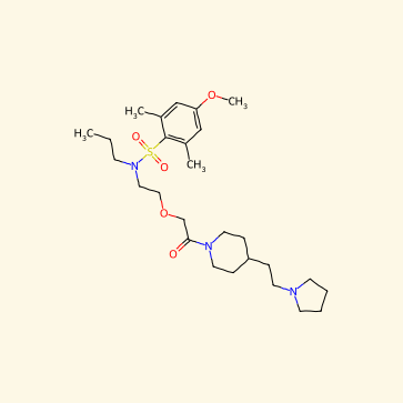 CCCN(CCOCC(=O)N1CCC(CCN2CCCC2)CC1)S(=O)(=O)c1c(C)cc(OC)cc1C